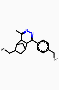 CC1=NN=C(c2ccc(CC(C)C)cc2)C2C3CC(CC(C)C)C(C3)C12